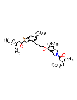 COc1cc(CCCCOc2cc3c(cc2OC)CN(C(=O)CC(C)C(=O)O)C3)c2cc(C(=O)CC(C)C(=O)O)sc2c1